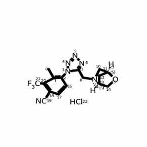 Cc1c(-n2nnnc2CN2C[C@@H]3C[C@H]2CO3)ccc(C#N)c1C(F)(F)F.Cl